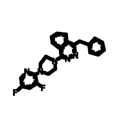 Fc1cnc(N2CCN(c3nnc(Cc4ccccc4)c4ccccc34)CC2)c(F)c1